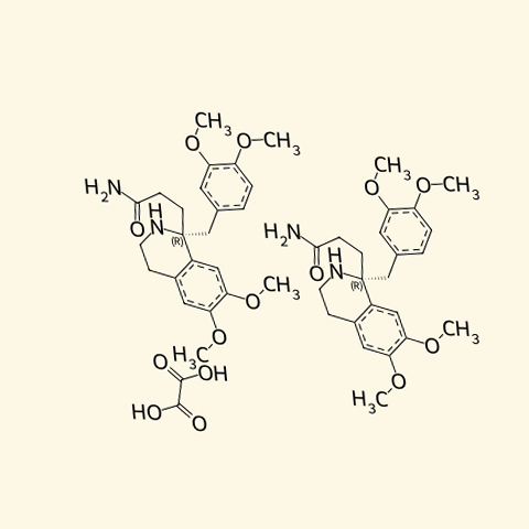 COc1ccc(C[C@@]2(CCC(N)=O)NCCc3cc(OC)c(OC)cc32)cc1OC.COc1ccc(C[C@@]2(CCC(N)=O)NCCc3cc(OC)c(OC)cc32)cc1OC.O=C(O)C(=O)O